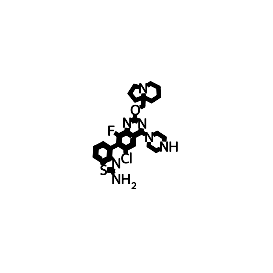 Nc1nc2c(-c3c(Cl)cc4c(N5CCNCC5)nc(OCC56CCCCN5CCC6)nc4c3F)cccc2s1